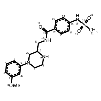 COc1cccc(N2CCNC(CNC(=O)c3ccc(NS(C)(=O)=O)cc3)C2)c1